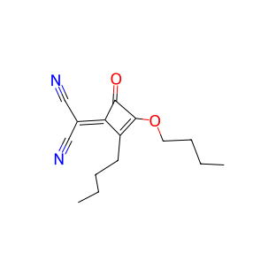 CCCCOC1=C(CCCC)C(=C(C#N)C#N)C1=O